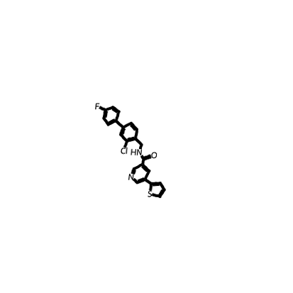 O=C(NCc1ccc(-c2ccc(F)cc2)cc1Cl)c1cncc(-c2cccs2)c1